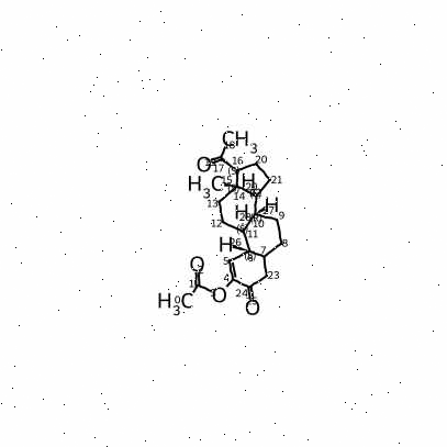 CC(=O)OC1=C[C@H]2C(CC[C@@H]3[C@@H]2CC[C@]2(C)[C@@H](C(C)=O)CC[C@@H]32)CC1=O